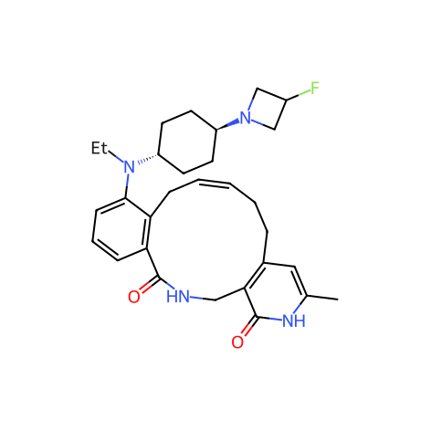 CCN(c1cccc2c1CC=CCCc1cc(C)[nH]c(=O)c1CNC2=O)[C@H]1CC[C@H](N2CC(F)C2)CC1